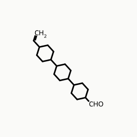 C=CC1CCC(C2CCC(C3CCC(C=O)CC3)CC2)CC1